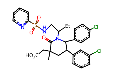 CCC(CNS(=O)(=O)c1ccccn1)N1C(=O)C(C)(CC(=O)O)CC(c2cccc(Cl)c2)C1c1ccc(Cl)cc1